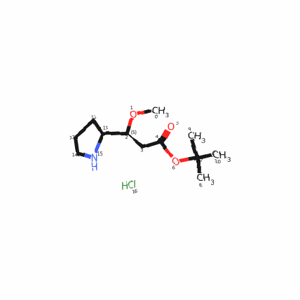 CO[C@@H](CC(=O)OC(C)(C)C)C1CCCN1.Cl